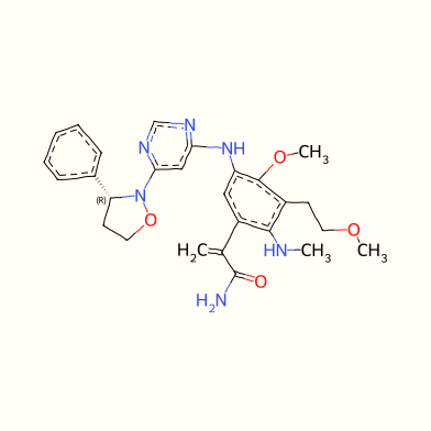 C=C(C(N)=O)c1cc(Nc2cc(N3OCC[C@@H]3c3ccccc3)ncn2)c(OC)c(CCOC)c1NC